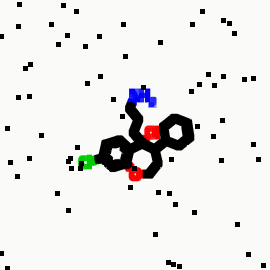 NCCCC1(O)c2ccc(Cl)cc2OCCC1C1CC=CCC1